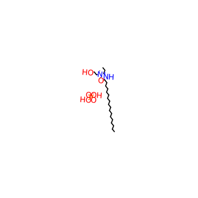 CCCCCCCCCCCCCCCCCC(=O)NC(CC)[N+](C)(C)CCO.O=P([O-])(O)O